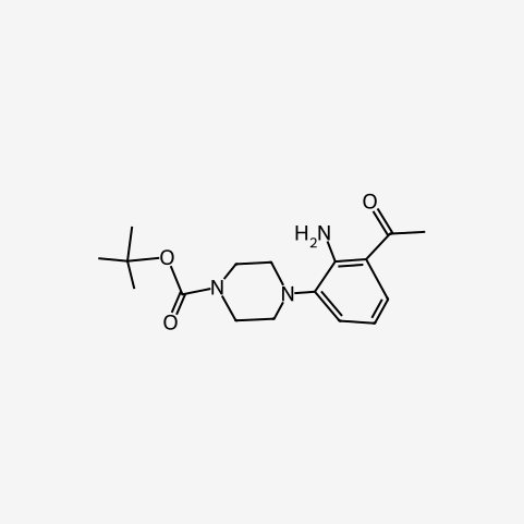 CC(=O)c1cccc(N2CCN(C(=O)OC(C)(C)C)CC2)c1N